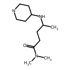 CC(CCC(=O)N(C)C)NC1CC[N]CC1